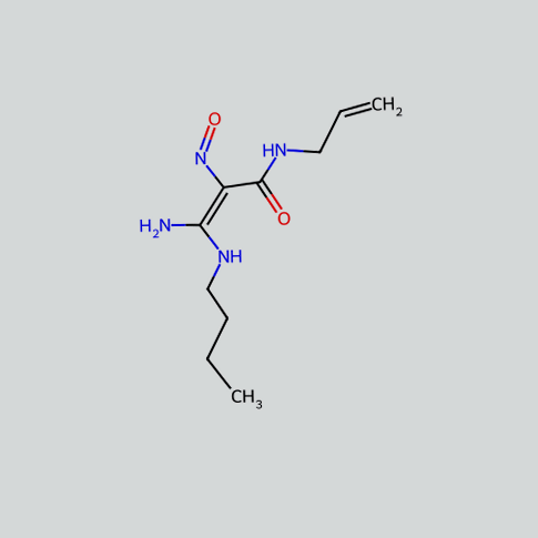 C=CCNC(=O)/C(N=O)=C(/N)NCCCC